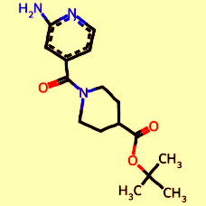 CC(C)(C)OC(=O)C1CCN(C(=O)c2ccnc(N)c2)CC1